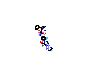 Cc1cc(-c2ccccc2)c(C(=O)C(=O)Nc2cc(F)c3c(c2)OC[C@H]2CN(c4ncc(F)cn4)CCN32)n1C